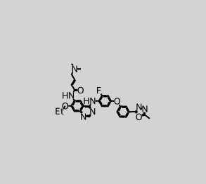 CCOc1cc2ncnc(Nc3ccc(Oc4cccc(-c5nnc(C)o5)c4)cc3F)c2cc1NC(=O)/C=C/CN(C)C